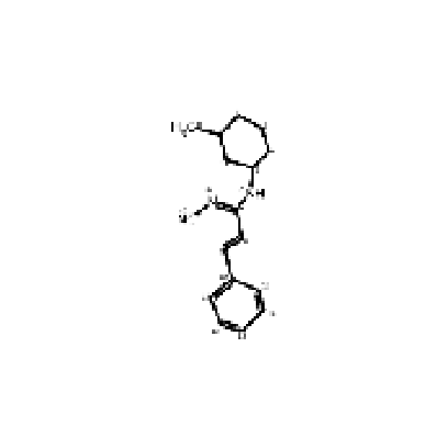 CC1CCCC(NC(C=Cc2ccccc2)=NC#N)C1